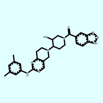 Cc1cc(C)cc(Nc2ncc3c(n2)CCN(C2CCN(C(=O)c4ccc5[nH]nnc5c4)CC2O)C3)c1